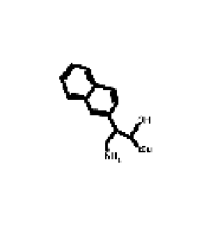 CC(C)(C)C(O)C(CN)c1ccc2ccccc2c1